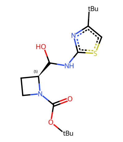 CC(C)(C)OC(=O)N1CC[C@H]1C(O)Nc1nc(C(C)(C)C)cs1